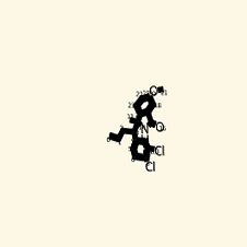 C=CCC(c1ccc(Cl)c(Cl)c1)C1(C)NC(=O)c2cc(OC)ccc21